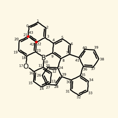 c1ccc(-c2ccc3c(c2B2c4ccccc4Oc4ccccc42)-c2ccccc2-c2ccccc2-c2ccccc2-3)cc1